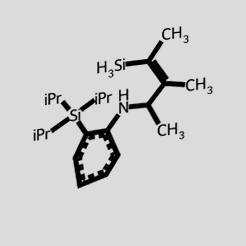 CC([SiH3])=C(C)C(C)Nc1ccccc1[Si](C(C)C)(C(C)C)C(C)C